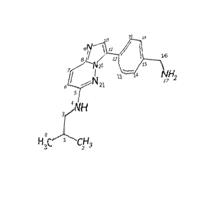 CC(C)CNc1ccc2ncc(-c3ccc(CN)cc3)n2n1